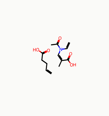 C=CCCC(=O)O.C=CN(C=C(C)C(=O)O)C(C)=O